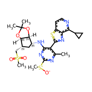 Cc1nc([S+](C)[O-])nc(N[C@@H]2C[C@H](CS(C)(=O)=O)[C@H]3OC(C)(C)O[C@H]32)c1-c1nc2c(C3CC3)nccc2s1